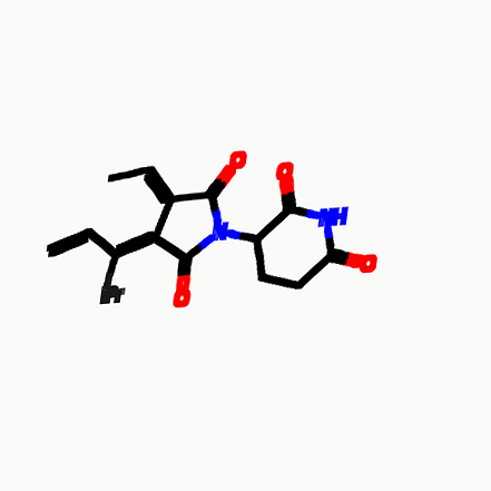 C=C/C(=C1/C(=O)N(C2CCC(=O)NC2=O)C(=O)/C1=C/C)C(C)C